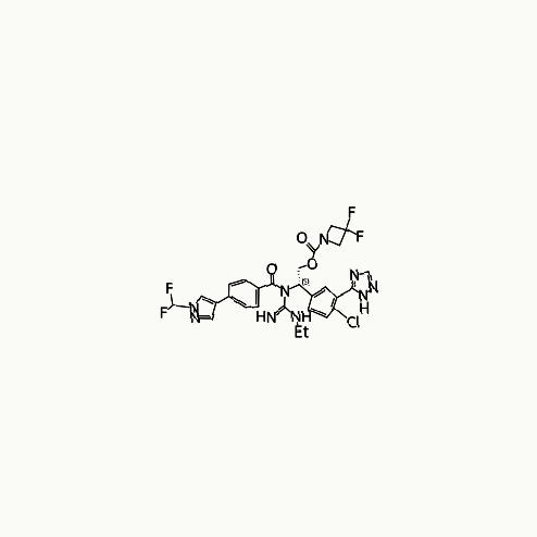 CCNC(=N)N(C(=O)c1ccc(-c2cnn(C(F)F)c2)cc1)[C@H](COC(=O)N1CC(F)(F)C1)c1ccc(Cl)c(-c2ncn[nH]2)c1